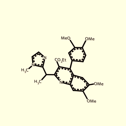 CCOC(=O)c1c(C(C)c2nccn2C)nc2cc(OC)c(OC)cc2c1-c1ccc(OC)c(OC)c1